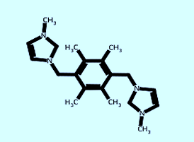 Cc1c(C)c(CN2C=CN(C)C2)c(C)c(C)c1CN1C=CN(C)C1